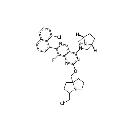 Fc1c(-c2cccc3cccc(Cl)c23)ncc2c(N3C[C@H]4CC[C@@H](C3)N4)nc(OCC34CCCN3C(CCl)CC4)nc12